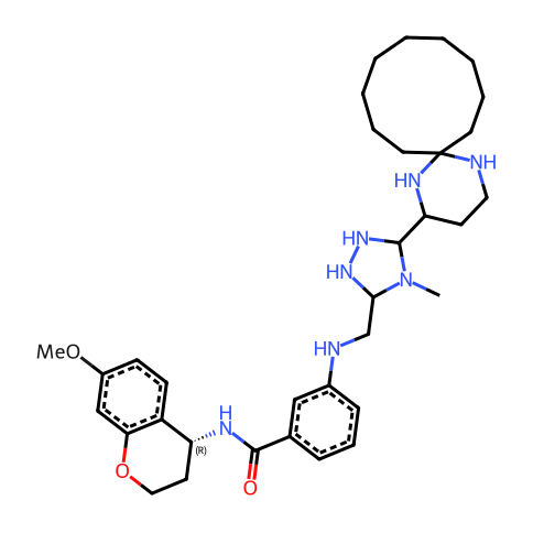 COc1ccc2c(c1)OCC[C@H]2NC(=O)c1cccc(NCC2NNC(C3CCNC4(CCCCCCCCC4)N3)N2C)c1